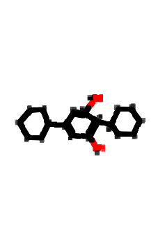 Oc1cc(C2CCCCC2)cc(O)c1C1CCCCC1